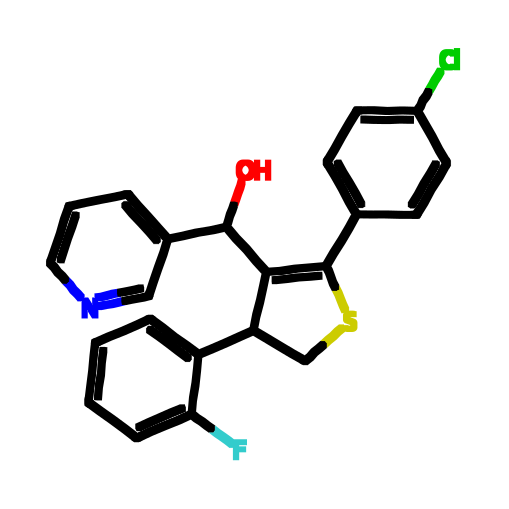 OC(C1=C(c2ccc(Cl)cc2)SCC1c1ccccc1F)c1cccnc1